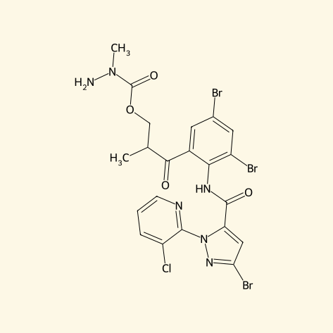 CC(COC(=O)N(C)N)C(=O)c1cc(Br)cc(Br)c1NC(=O)c1cc(Br)nn1-c1ncccc1Cl